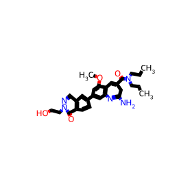 CCCN(CCC)C(=O)C1=Cc2c(cc(-c3ccc4c(=O)n(CCO)ncc4c3)cc2OC)N=C(N)C1